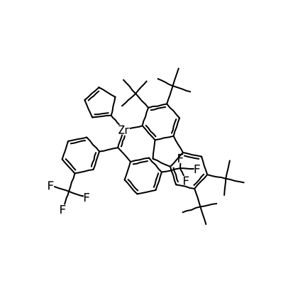 CC(C)(C)c1cc2c(cc1C(C)(C)C)-c1cc(C(C)(C)C)c(C(C)(C)C)[c]([Zr]([C]3=CC=CC3)=[C](c3cccc(C(F)(F)F)c3)c3cccc(C(F)(F)F)c3)c1C2